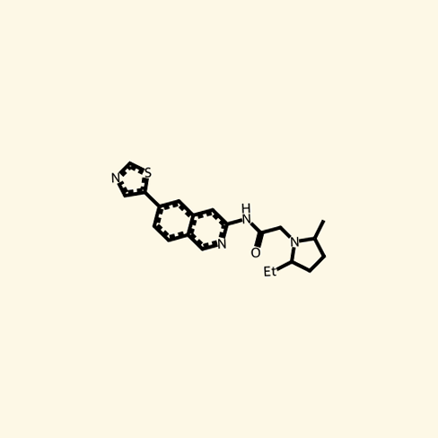 CCC1CCC(C)N1CC(=O)Nc1cc2cc(-c3cncs3)ccc2cn1